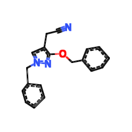 N#CCc1cn(Cc2ccccc2)nc1OCc1ccccc1